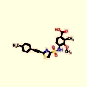 COc1c(NS(=O)(=O)c2csc(C#Cc3ccc(C)cc3)n2)ccc(C(=O)O)c1C